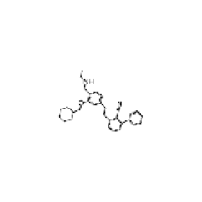 CCNCc1ccc(C=Cc2cccc(-c3ccccc3)c2C#N)cc1OCC1CCCCC1